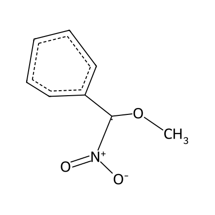 CO[C](c1ccccc1)[N+](=O)[O-]